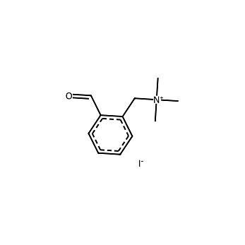 C[N+](C)(C)Cc1ccccc1C=O.[I-]